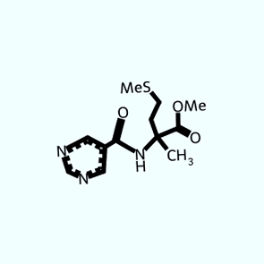 COC(=O)C(C)(CCSC)NC(=O)c1cncnc1